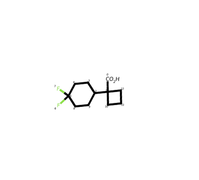 O=C(O)C1(C2CCC(F)(F)CC2)CCC1